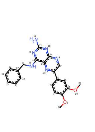 COc1ccc(-c2cnc3nc(N)nc(NCc4ccccc4)c3n2)cc1OC